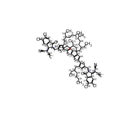 [C-]#[N+]/C(C#N)=C1\C(=C\c2cc(OCC(CC)CCCC)c(-c3cc4c(s3)-c3sc(-c5sc(/C=C6\C(=O)c7cc(Cl)c(Cl)cc7\C6=C(\C#N)[N+]#[C-])cc5CC(CC)CCCC)cc3C4(CC(CC)CCCC)CC(CC)CCCC)s2)C(=O)c2cc(Cl)c(Cl)cc21